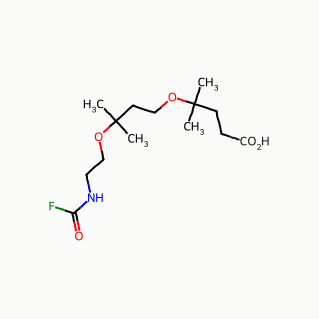 CC(C)(CCOC(C)(C)CCC(=O)O)OCCNC(=O)F